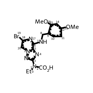 CCN(C(=O)O)c1nc2c(NCc3ccc(OC)cc3OC)nc(Br)cn2n1